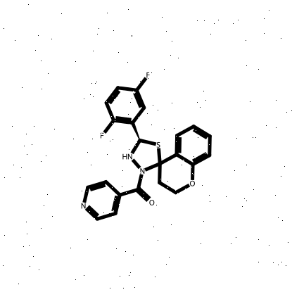 O=C(c1ccncc1)N1N[C@@H](c2cc(F)ccc2F)SC12CCOc1ccccc12